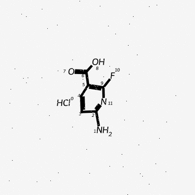 Cl.Nc1ccc(C(=O)O)c(F)n1